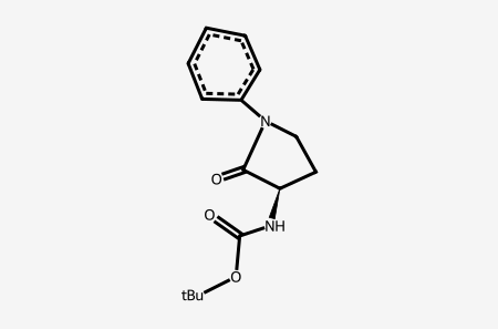 CC(C)(C)OC(=O)N[C@@H]1CCN(c2ccccc2)C1=O